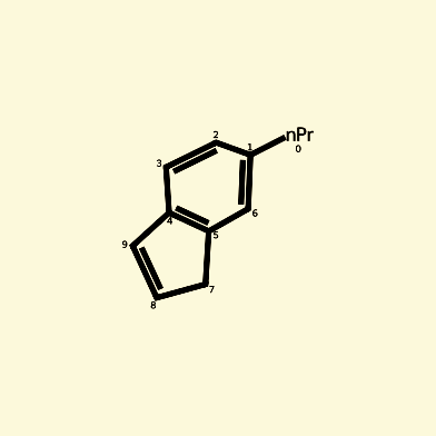 CCCc1ccc2c(c1)CC=C2